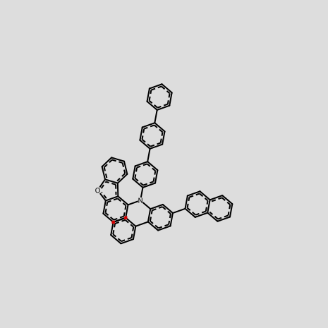 c1ccc(-c2ccc(-c3ccc(N(c4cc(-c5ccc6ccccc6c5)ccc4-c4ccccc4)c4cccc5oc6ccccc6c45)cc3)cc2)cc1